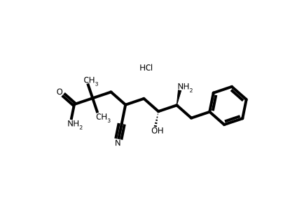 CC(C)(CC(C#N)C[C@@H](O)[C@@H](N)Cc1ccccc1)C(N)=O.Cl